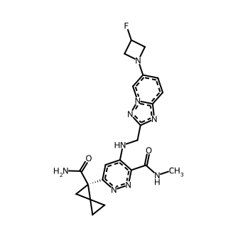 CNC(=O)c1nnc([C@@]2(C(N)=O)CC23CC3)cc1NCc1nc2ccc(N3CC(F)C3)cn2n1